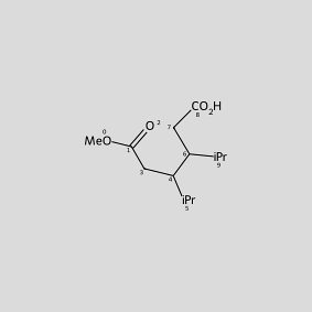 COC(=O)CC(C(C)C)C(CC(=O)O)C(C)C